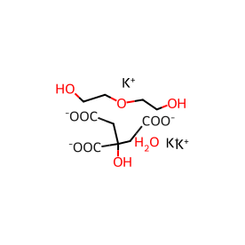 O.O=C([O-])CC(O)(CC(=O)[O-])C(=O)[O-].OCCOCCO.[K+].[K+].[K+]